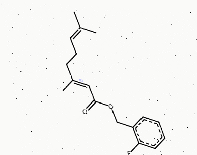 CC(C)=CCC/C(C)=C/C(=O)OCc1ccccc1F